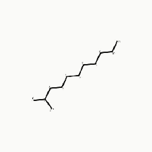 [CH2]C([CH2])CCCCCCCCC